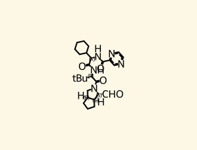 CC(C)(C)[C@@H](NC(=O)[C@H](NC(=O)c1cnccn1)C1CCCCC1)C(=O)N1C[C@@H]2CCC[C@@H]2[C@H]1C=O